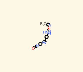 FC(F)(F)c1ccnc(OCc2nnc(C3CCC(c4cnn(C5CCC(N6CC7(COC7)C6)CC5)c4)CC3)[nH]2)c1